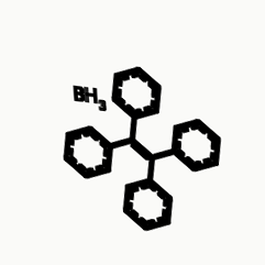 B.c1ccc(C(=C(c2ccccc2)c2ccccc2)c2ccccc2)cc1